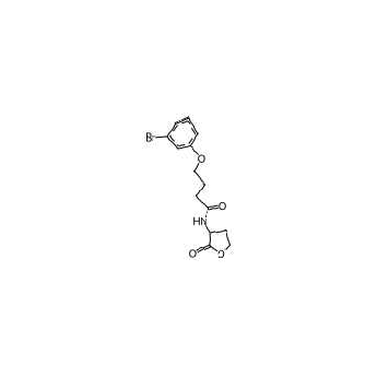 O=C(CCCOc1cccc(Br)c1)NC1CCOC1=O